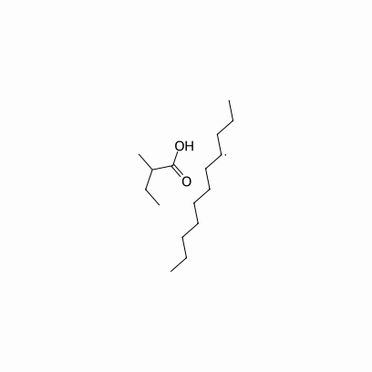 CCC(C)C(=O)O.CCC[CH]CCCCCCC